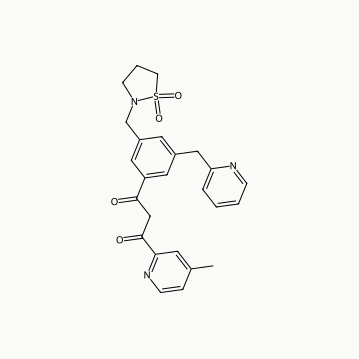 Cc1ccnc(C(=O)CC(=O)c2cc(Cc3ccccn3)cc(CN3CCCS3(=O)=O)c2)c1